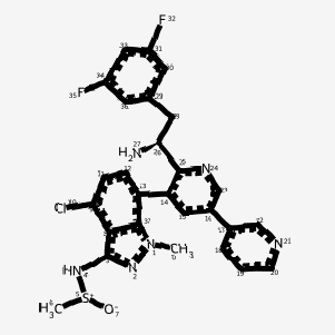 Cn1nc(N[S+](C)[O-])c2c(Cl)ccc(-c3cc(-c4cccnc4)cnc3[C@@H](N)Cc3cc(F)cc(F)c3)c21